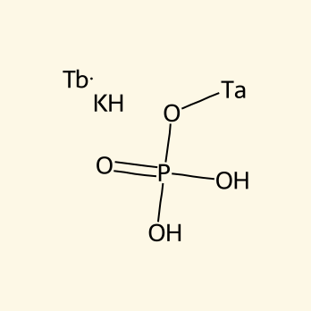 O=P(O)(O)[O][Ta].[KH].[Tb]